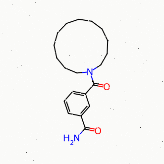 NC(=O)c1cccc(C(=O)N2CCCCCCCCCCCC2)c1